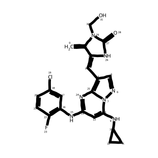 C=c1/c(=C/c2cnn3c(NC4CC4)cc(Nc4cc(Cl)ccc4F)nc23)[nH]c(=O)n1CO